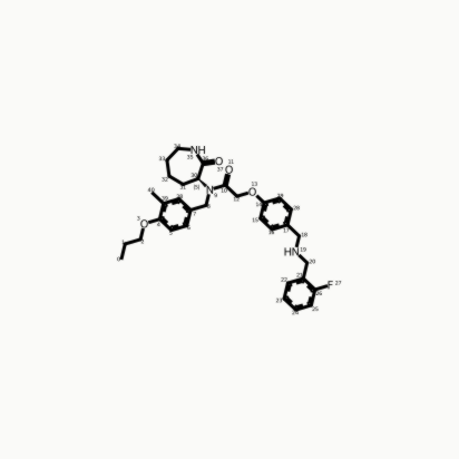 CCCOc1ccc(CN(C(=O)COc2ccc(CNCc3ccccc3F)cc2)[C@H]2CCCCNC2=O)cc1C